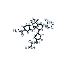 CCNC(=O)Nc1ccc(-c2nc(N3CCOC[C@@H]3C)cc(C3(S(=O)(=O)c4ccc(C(N)=O)cc4Cl)CC3)n2)cc1